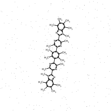 Cc1nc(-c2nc3c(C)c(C)c(C)c(C)c3n2C)c(C)nc1-c1c(C)c(C)c(-c2nc(C)c(-c3nc4c(C)c(C)c(C)c(C)c4n3C)nc2C)c(C)c1C